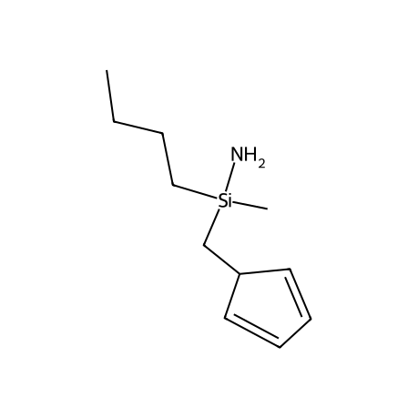 CCCC[Si](C)(N)CC1C=CC=C1